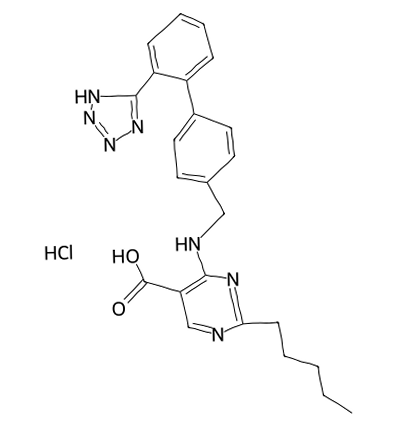 CCCCCc1ncc(C(=O)O)c(NCc2ccc(-c3ccccc3-c3nnn[nH]3)cc2)n1.Cl